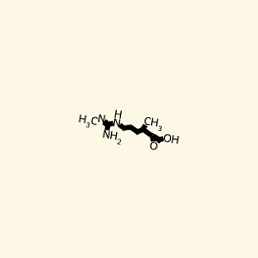 C/N=C(\N)NCCCC(C)C1OC1O